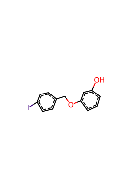 Oc1cccc(OCc2ccc(I)cc2)c1